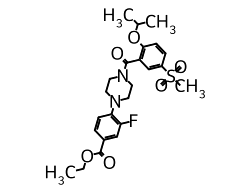 CCOC(=O)c1ccc(N2CCN(C(=O)c3cc(S(C)(=O)=O)ccc3OC(C)C)CC2)c(F)c1